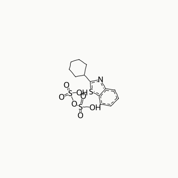 O=S(=O)(O)OS(=O)(=O)O.c1ccc2sc(C3CCCCC3)nc2c1